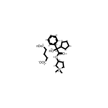 CCCCCCCCCCCCCC(=O)[O-].C[N+]1(C)CCC(OC(=O)C(O)(c2ccccc2)C2CCCC2)C1